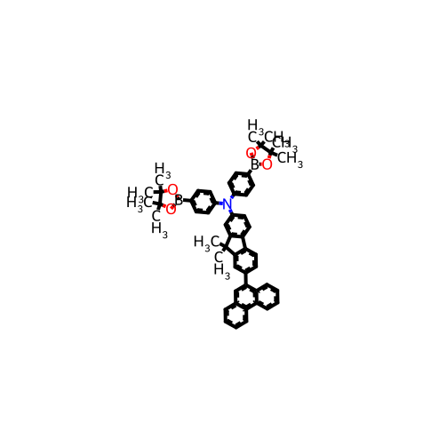 CC1(C)c2cc(-c3cc4ccccc4c4ccccc34)ccc2-c2ccc(N(c3ccc(B4OC(C)(C)C(C)(C)O4)cc3)c3ccc(B4OC(C)(C)C(C)(C)O4)cc3)cc21